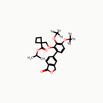 [2H]C([2H])([2H])Oc1ccc(-c2ccc3c(c2)COC3=O)c(OCC2(C(=O)OC(C)C)CCC2)c1OC([2H])([2H])[2H]